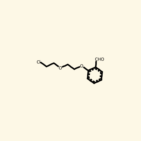 O=Cc1ccccc1OCCOCCCl